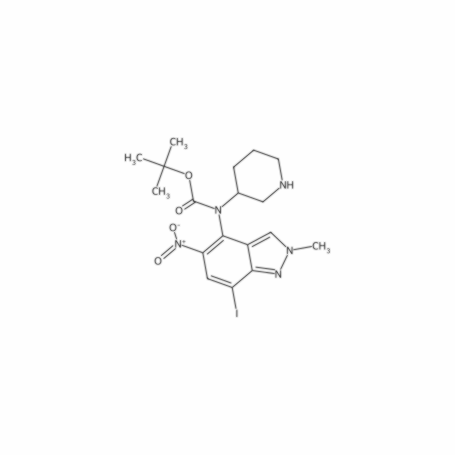 Cn1cc2c(N(C(=O)OC(C)(C)C)C3CCCNC3)c([N+](=O)[O-])cc(I)c2n1